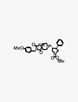 COc1ccc(CN2C(=O)NC3(CCN(C[C@H]4CN(C(=O)OC(C)(C)C)C[C@@H]4c4ccccc4)CC3)C2=O)cc1